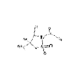 CCCC1(C(C)(C)C)CS(=O)(=O)N(C(=O)C(C)(C)C)C1CC